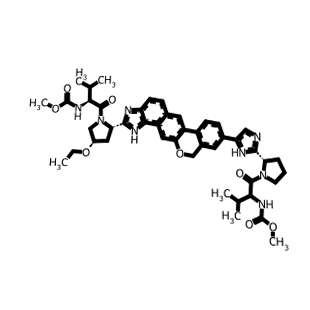 CCO[C@H]1C[C@@H](c2nc3ccc4cc5c(cc4c3[nH]2)OCc2cc(-c3cnc([C@@H]4CCCN4C(=O)C(NC(=O)OC)C(C)C)[nH]3)ccc2-5)N(C(=O)[C@@H](NC(=O)OC)C(C)C)C1